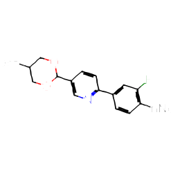 CCCCCCCCCc1ccc(-c2ccc(C3OCC(CCCCCCCC)CO3)cn2)cc1F